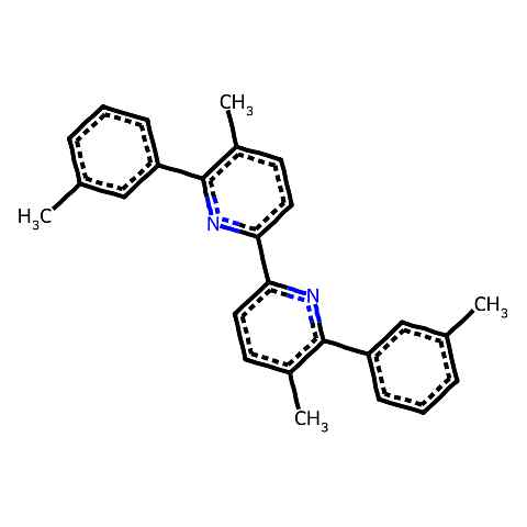 Cc1cccc(-c2nc(-c3ccc(C)c(-c4cccc(C)c4)n3)ccc2C)c1